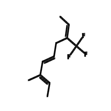 CC=C(C)C=CC/C(=C\C)C(F)(F)F